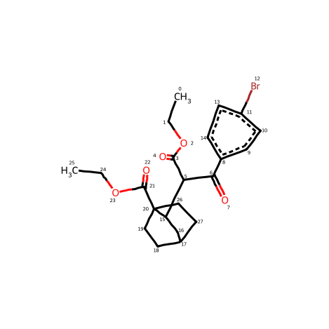 CCOC(=O)C(C(=O)c1ccc(Br)cc1)C1CC2CCC1(C(=O)OCC)CC2